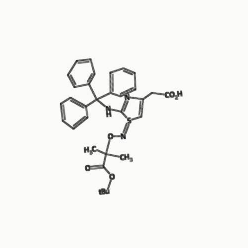 CC(C)(C)OC(=O)C(C)(C)O/N=S1/C=C(CC(=O)O)N=C1NC(c1ccccc1)(c1ccccc1)c1ccccc1